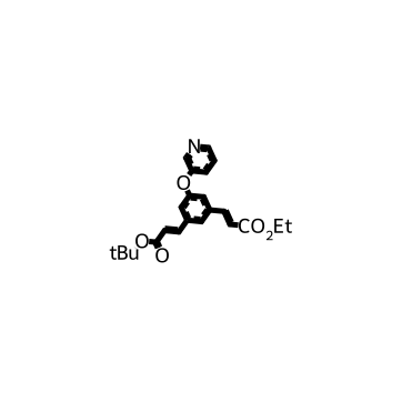 CCOC(=O)C=Cc1cc(/C=C/C(=O)OC(C)(C)C)cc(Oc2cccnc2)c1